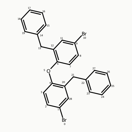 Brc1ccc(Oc2ccc(Br)cc2Cc2ccccc2)c(Cc2ccccc2)c1